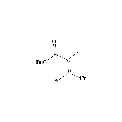 CC(C(=O)OCC(C)C)=C(C(C)C)C(C)C